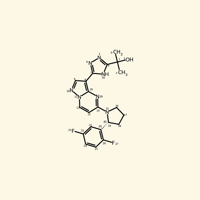 CC(C)(O)c1nnc(-c2cnn3ccc(N4CCC[C@@H]4c4cc(F)ccc4F)nc23)[nH]1